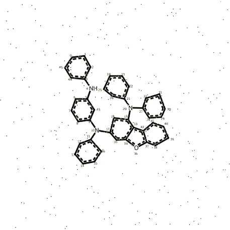 c1ccc(Nc2cccc(N(c3ccccc3)c3cc(N(c4ccccc4)c4ccccc4)c4c(c3)oc3ccccc34)c2)cc1